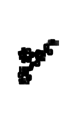 CC(C)(C)OC(=O)NCCOc1nn(C(=O)OC(C)(C)C)cc1B1OC(C)(C)C(C)(C)O1